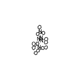 c1ccc(-n2c3ccccc3c3c(-c4nc(-c5cc(-n6c7cc8ccccc8cc7c7cc8ccccc8cc76)c6c(c5)oc5ccccc56)nc(-c5cccc6ccccc56)n4)cccc32)cc1